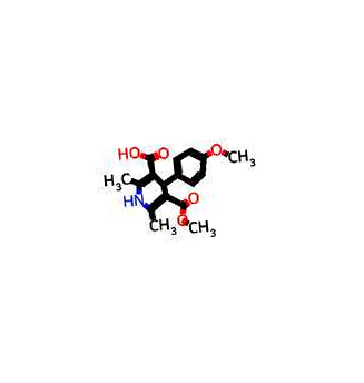 COC(=O)C1=C(C)NC(C)=C(C(=O)O)C1c1ccc(OC)cc1